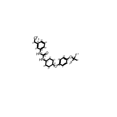 CC(F)(F)Oc1ccc(OC2CCC(NC(=O)Nc3cccc(CC(F)(F)F)c3)CC2)cc1